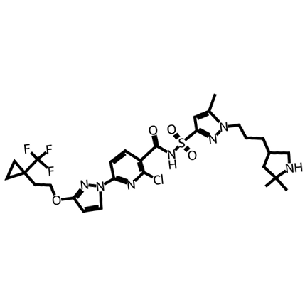 Cc1cc(S(=O)(=O)NC(=O)c2ccc(-n3ccc(OCCC4(C(F)(F)F)CC4)n3)nc2Cl)nn1CCCC1CNC(C)(C)C1